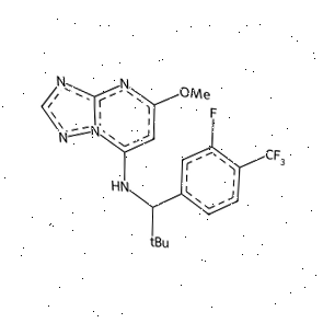 COc1cc(NC(c2ccc(C(F)(F)F)c(F)c2)C(C)(C)C)n2ncnc2n1